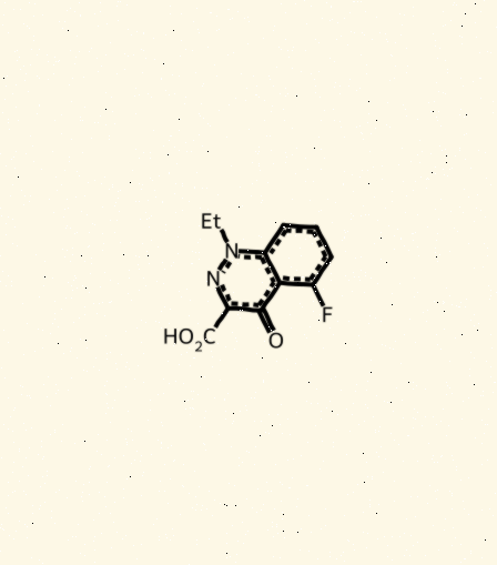 CCn1nc(C(=O)O)c(=O)c2c(F)cccc21